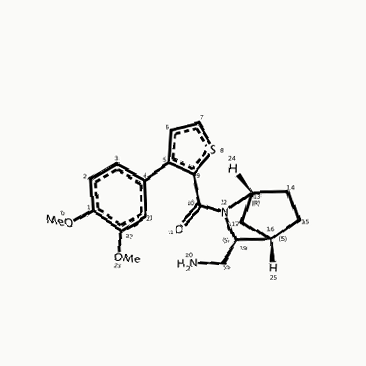 COc1ccc(-c2ccsc2C(=O)N2[C@@H]3CC[C@@H](C3)[C@H]2CN)cc1OC